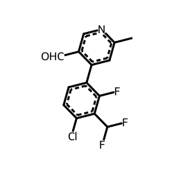 Cc1cc(-c2ccc(Cl)c(C(F)F)c2F)c(C=O)cn1